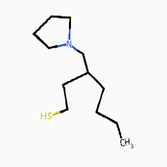 CCCCC(CCS)CN1CCCC1